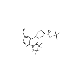 CC(C)(C)OC(=O)N1CCC(c2cc(CF)ccc2B2OC(C)(C)C(C)(C)O2)CC1